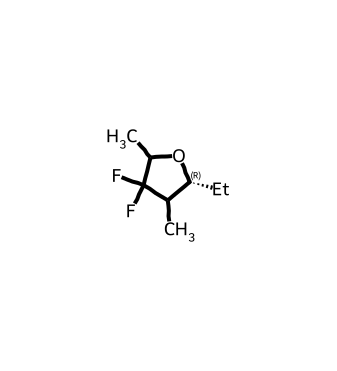 CC[C@H]1OC(C)C(F)(F)C1C